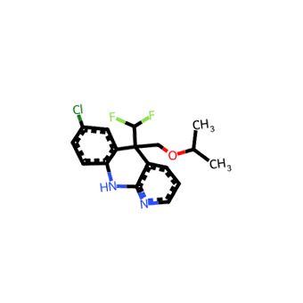 CC(C)OCC1(C(F)F)c2cc(Cl)ccc2Nc2ncccc21